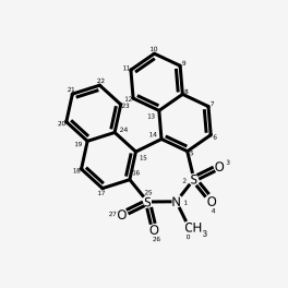 CN1S(=O)(=O)c2ccc3ccccc3c2-c2c(ccc3ccccc23)S1(=O)=O